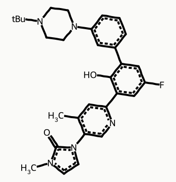 Cc1cc(-c2cc(F)cc(-c3cccc(N4CCN(C(C)(C)C)CC4)c3)c2O)ncc1-n1ccn(C)c1=O